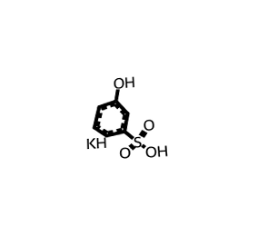 O=S(=O)(O)c1cccc(O)c1.[KH]